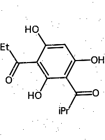 CCC(=O)c1c(O)cc(O)c(C(=O)C(C)C)c1O